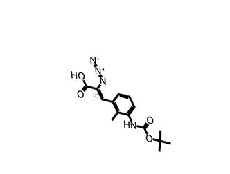 Cc1c(/C=C(\N=[N+]=[N-])C(=O)O)cccc1NC(=O)OC(C)(C)C